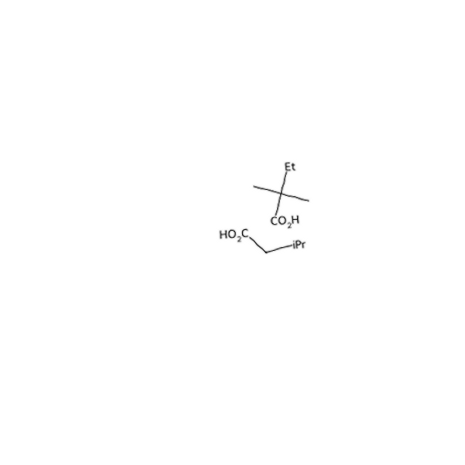 CC(C)CC(=O)O.CCC(C)(C)C(=O)O